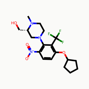 CN1CCN(c2c([N+](=O)[O-])ccc(OC3CCCC3)c2C(F)(F)F)C[C@@H]1CO